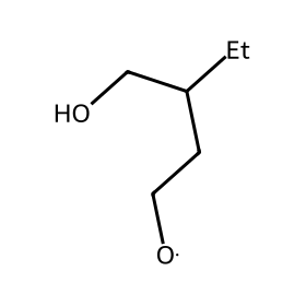 CCC(CO)CC[O]